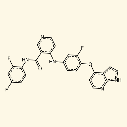 O=C(Nc1ccc(F)cc1F)c1cnccc1Nc1ccc(Oc2ccnc3[nH]ccc23)c(F)c1